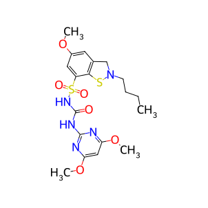 CCCCN1Cc2cc(OC)cc(S(=O)(=O)NC(=O)Nc3nc(OC)cc(OC)n3)c2S1